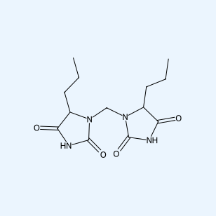 CCCC1C(=O)NC(=O)N1CN1C(=O)NC(=O)C1CCC